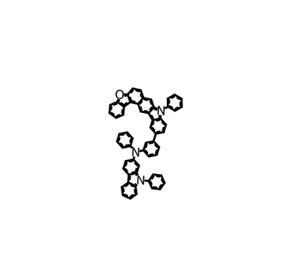 c1ccc(N(c2cccc(-c3ccc4c(c3)c3cc5c(ccc6oc7ccccc7c65)cc3n4-c3ccccc3)c2)c2ccc3c4ccccc4n(-c4ccccc4)c3c2)cc1